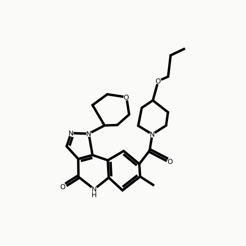 CCCOC1CCN(C(=O)c2cc3c(cc2C)[nH]c(=O)c2cnn(C4CCOCC4)c23)CC1